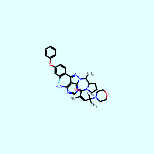 CC(C1CCCN1C(=O)/C(C#N)=C\C(C)(C)N1CCOCC1)n1nc(-c2ccc(Oc3ccccc3)cc2F)c2c(N)ncnc21